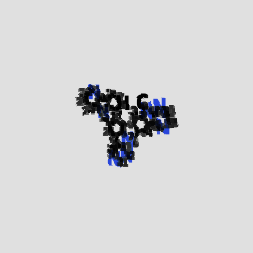 Cn1c2ccc(Cn3c4ccc(Cn5c6ccccc6c6ncccc65)cc4c4cncnc43)cc2c2nccnc21